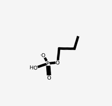 CCCOP([O])(=O)O